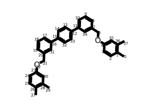 Cc1ccc(OCc2cccc(-c3ccc(-c4cccc(COc5ccc(C)c(C)c5)c4)cc3)c2)cc1C